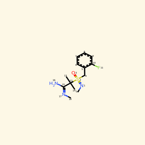 CN=S(=O)(Cc1ccccc1F)C(C)(C)/C(N)=N\C